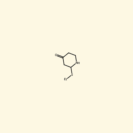 CCSC1CC(=O)CCN1